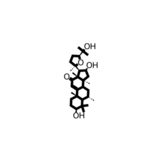 C[C@H]1CC2C(=CC(=O)[C@]3(C)[C@@H]([C@@]4(C)CC[C@@H](C(C)(C)O)O4)[C@@H](O)C[C@@]23C)[C@@]2(C)CC[C@H](O)C(C)(C)C12